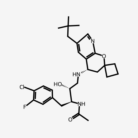 CC(=O)N[C@@H](Cc1ccc(Cl)c(F)c1)[C@H](O)CN[C@H]1CC2(CCC2)Oc2ncc(CC(C)(C)C)cc21